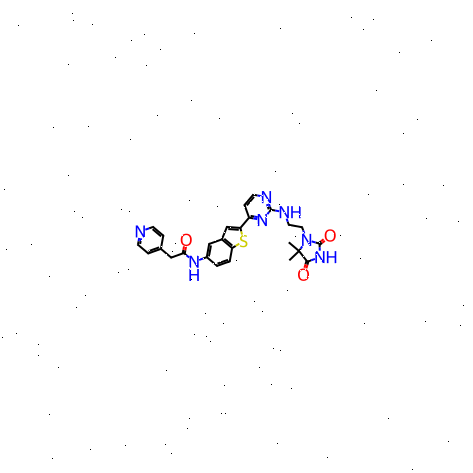 CC1(C)C(=O)NC(=O)N1CCNc1nccc(-c2cc3cc(NC(=O)Cc4ccncc4)ccc3s2)n1